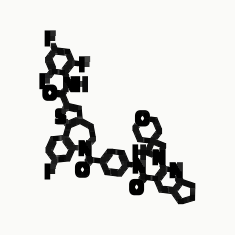 O=C(Nc1c(F)cc(F)cc1F)c1cc2c(s1)-c1ccc(F)cc1N(C(=O)c1ccc(NC(=O)c3cc4c(nc3N3CC5(CCOCC5)C3)CCC4)cc1)CC2